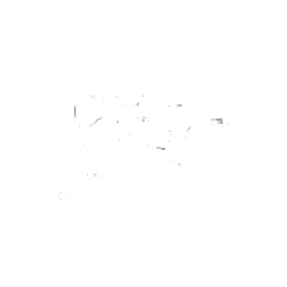 Cn1c(C(=O)Nc2ccc(C#N)cc2C(=O)O)cc2cccc(OC[C@H](O)CO)c21